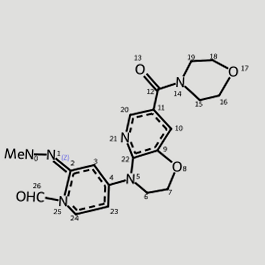 CN/N=c1/cc(N2CCOc3cc(C(=O)N4CCOCC4)cnc32)ccn1C=O